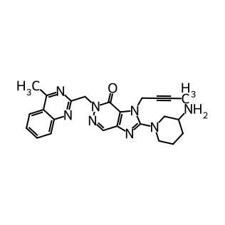 CC#CCn1c(N2CCCC(N)C2)nc2cnn(Cc3nc(C)c4ccccc4n3)c(=O)c21